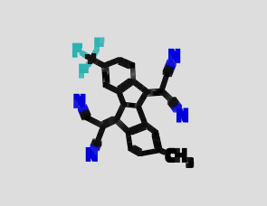 Cc1ccc2c(c1)C1C(=C(C#N)C#N)c3ccc(C(F)(F)F)cc3C1C2=C(C#N)C#N